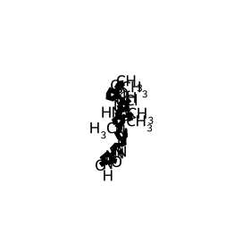 Cc1cc(Nc2ncc(Cl)c(Nc3ccccc3S(=O)(=O)C(C)C)n2)c(OC(C)C)cc1N1CCN(Cc2ccc(N3CCC(=O)NC3=O)nn2)CC1